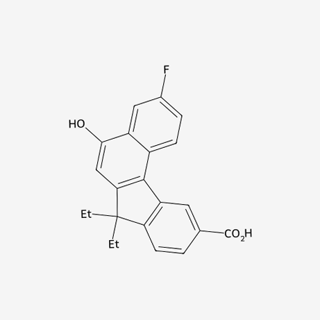 CCC1(CC)c2ccc(C(=O)O)cc2-c2c1cc(O)c1cc(F)ccc21